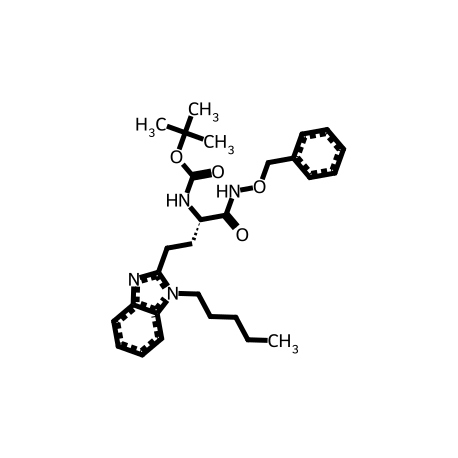 CCCCCn1c(CC[C@H](NC(=O)OC(C)(C)C)C(=O)NOCc2ccccc2)nc2ccccc21